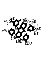 CC[SiH2]c1cc(C)cc(N(c2cc(C(C)(C)C)cc(C(C)(C)C)c2)c2c3ccc(C(C)(C)C)cc3c(N(c3cc([SiH](CC)CC)cc([SiH](CC)CC)c3)c3ccc(C(C)(C)C)c(C(C)(C)C)c3)c3ccc(C(C)(C)C)cc23)c1